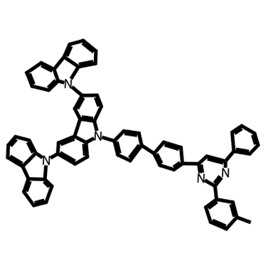 Cc1cccc(-c2nc(-c3ccccc3)cc(-c3ccc(-c4ccc(-n5c6ccc(-n7c8ccccc8c8ccccc87)cc6c6cc(-n7c8ccccc8c8ccccc87)ccc65)cc4)cc3)n2)c1